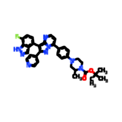 CC1CN(c2ccc(-c3ccnc4c(-c5ccc(F)c6[nH]ncc56)c(-c5ccncc5)nn34)cc2)CCN1C(=O)OC(C)(C)C